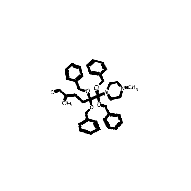 CN1CCN(C(OCc2ccccc2)(OCc2ccccc2)C(CCC(O)C=O)(OCc2ccccc2)OCc2ccccc2)CC1